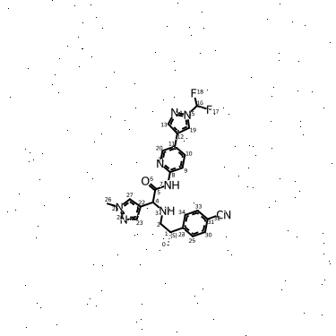 C[C@H](CNC(C(=O)Nc1ccc(-c2cnn(C(F)F)c2)cn1)c1cnn(C)c1)c1ccc(C#N)cc1